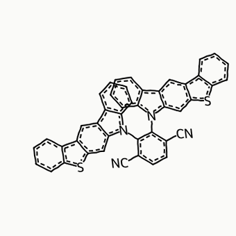 N#Cc1ccc(C#N)c(-n2c3ccccc3c3cc4c(cc32)sc2ccccc24)c1-n1c2ccccc2c2cc3c(cc21)sc1ccccc13